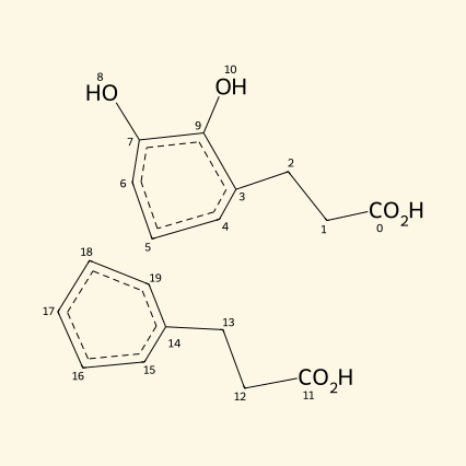 O=C(O)CCc1cccc(O)c1O.O=C(O)CCc1ccccc1